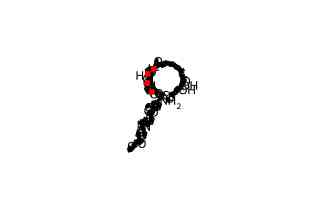 CCOCCC(=O)N1CCN(c2ncc3c(n2)CCN(C(=O)O[C@@H]2CC[C@@H](C[C@@H](N)[C@@H]4C[C@@H](OC)[C@H](C)/C=C(\C)[C@@H](O)[C@@H](O)C(=O)[C@H](C)C[C@H](C)/C=C/C=C/C=C(\C)[C@@H](OC)C[C@@H]5CC[C@@H](C)[C@@](O)(O5)C(=O)C(=O)N5CCCC[C@H]5C(=O)O4)C[C@H]2OC)C3)CC1